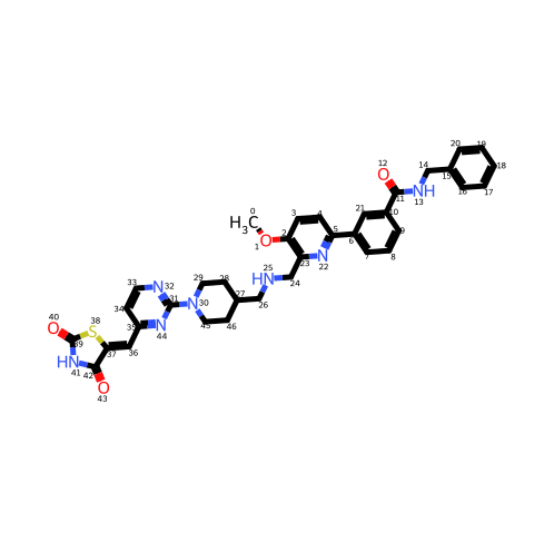 COc1ccc(-c2cccc(C(=O)NCc3ccccc3)c2)nc1CNCC1CCN(c2nccc(/C=C3\SC(=O)NC3=O)n2)CC1